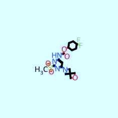 CS(=O)(=O)c1nc(NC(=O)OC2CCC(F)(F)CC2)cc(N2CC3(COC3)C2)n1